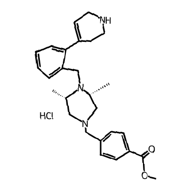 COC(=O)c1ccc(CN2C[C@@H](C)N(Cc3ccccc3C3=CCNCC3)[C@@H](C)C2)cc1.Cl